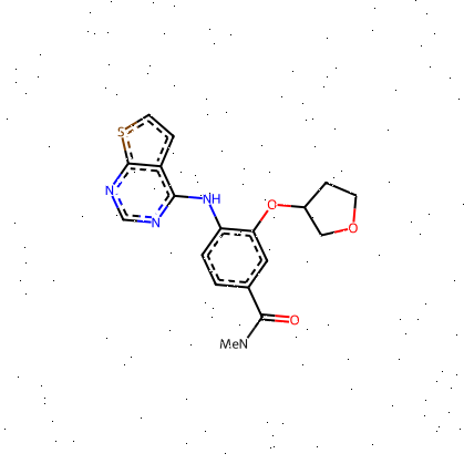 CNC(=O)c1ccc(Nc2ncnc3sccc23)c(OC2CCOC2)c1